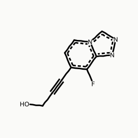 OCC#Cc1ccn2cnnc2c1F